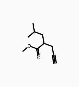 C#CCC(CC(C)C)C(=O)OC